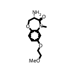 COCCOc1ccc2c(c1)N(C)C(=O)[C@@H](N)CO2